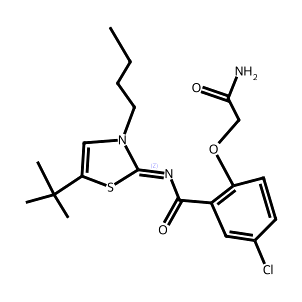 CCCCn1cc(C(C)(C)C)s/c1=N\C(=O)c1cc(Cl)ccc1OCC(N)=O